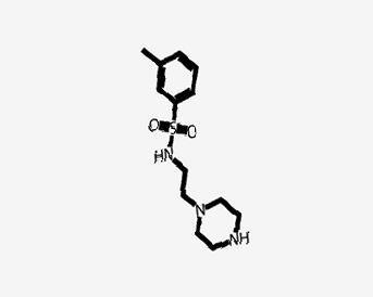 Cc1cccc(S(=O)(=O)NCCN2CCNCC2)c1